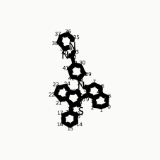 c1ccc2c(c1)ccc1c2c2c3sc4ccccc4c3c3ccccc3c2n1-c1ccc(-c2cn3ccccc3n2)cc1